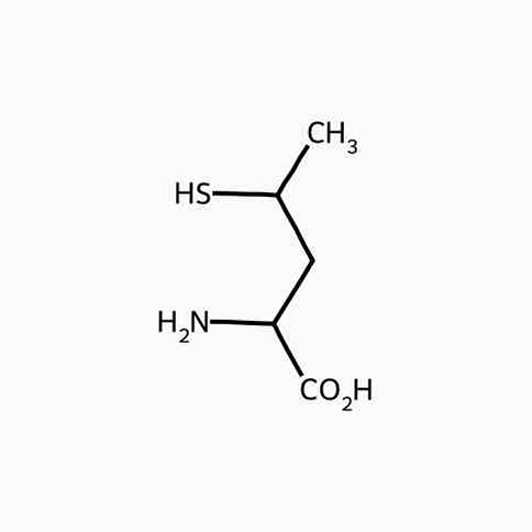 CC(S)CC(N)C(=O)O